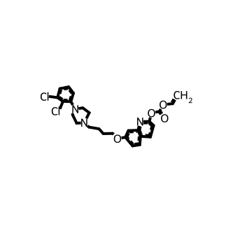 C=COC(=O)Oc1ccc2ccc(OCCCCN3CCN(c4cccc(Cl)c4Cl)CC3)cc2n1